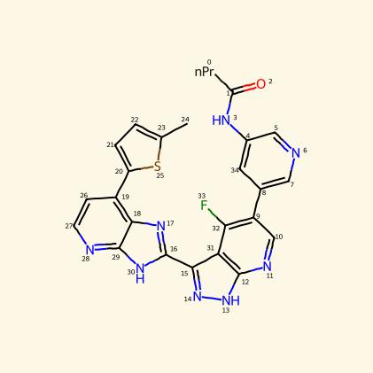 CCCC(=O)Nc1cncc(-c2cnc3[nH]nc(-c4nc5c(-c6ccc(C)s6)ccnc5[nH]4)c3c2F)c1